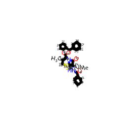 CO[C@@]1(NC(=O)c2ccccc2)C(=O)N2C(C(=O)OC(c3ccccc3)c3ccccc3)=C(C)CS[C@@H]21